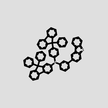 c1ccc(C2(c3ccc(N(c4cccc(-c5ccc6sc7ccccc7c6c5)c4)c4ccc5c(c4)C(c4ccccc4)(c4ccccc4)c4ccccc4-5)cc3)c3ccccc3-c3ccccc32)cc1